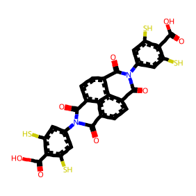 O=C(O)c1c(S)cc(N2C(=O)c3ccc4c5c(ccc(c35)C2=O)C(=O)N(c2cc(S)c(C(=O)O)c(S)c2)C4=O)cc1S